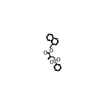 C=C(CS(=O)(=O)c1ccccc1)C(=O)OCc1cccc2ccccc12